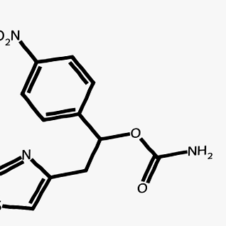 NC(=O)OC(Cc1cscn1)c1ccc([N+](=O)[O-])cc1